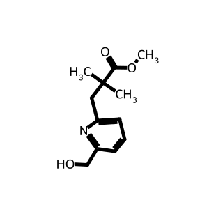 COC(=O)C(C)(C)Cc1cccc(CO)n1